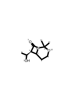 CC(O)[C@H]1C(=O)N2C1CCOC2(C)C